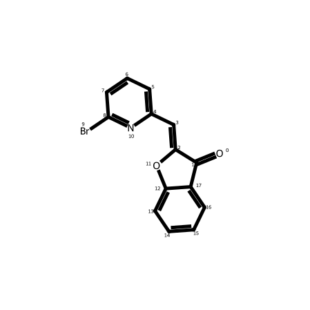 O=C1/C(=C/c2cccc(Br)n2)Oc2ccccc21